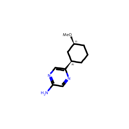 CO[C@H]1CCC[C@@H](c2cnc(N)cn2)C1